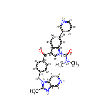 Cc1nc2cnccc2n1Cc1ccc(C(=O)c2cn(C(=O)N(C)C)c3cc(-c4cccnc4)ccc23)cc1